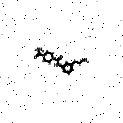 NC[CH]c1cccc(NC(=O)N2CCN(C(N)=O)CC2)c1